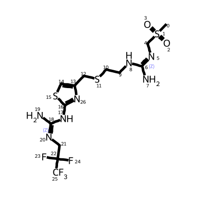 CS(=O)(=O)C/N=C(/N)NCCSCc1csc(N/C(N)=N\CC(F)(F)C(F)(F)F)n1